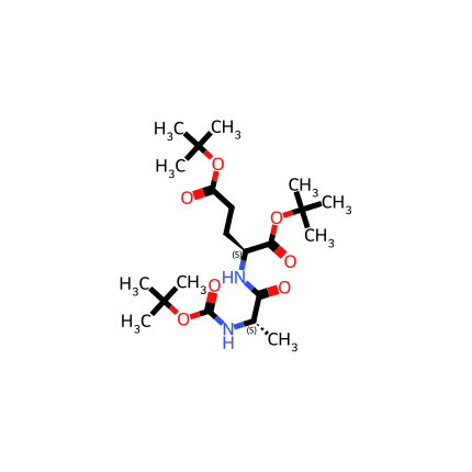 C[C@H](NC(=O)OC(C)(C)C)C(=O)N[C@@H](CCC(=O)OC(C)(C)C)C(=O)OC(C)(C)C